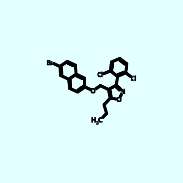 CCCc1onc(-c2c(Cl)cccc2Cl)c1COc1ccc2cc(Br)ccc2c1